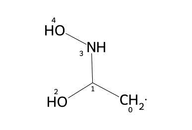 [CH2]C(O)NO